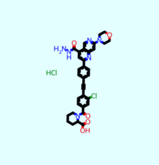 Cl.NNC(=O)c1cc(-c2ccc(C#Cc3ccc(C(=O)N4CCCCC4C(=O)O)cc3Cl)cc2)nc2cc(N3CCOCC3)ncc12